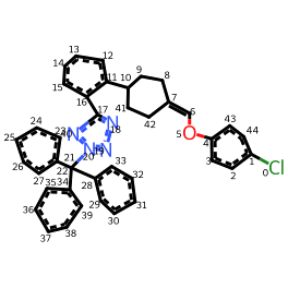 Clc1ccc(OC=C2CCC(c3ccccc3-c3nnn(C(c4ccccc4)(c4ccccc4)c4ccccc4)n3)CC2)cc1